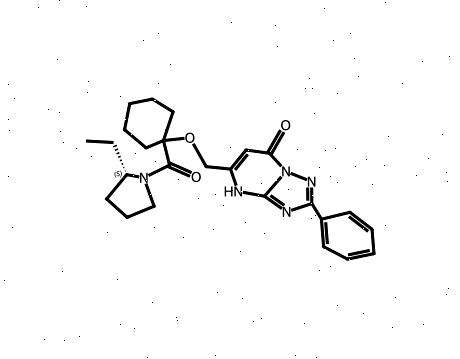 CC[C@H]1CCCN1C(=O)C1(OCc2cc(=O)n3nc(-c4ccccc4)nc3[nH]2)CCCCC1